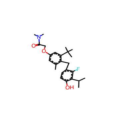 Cc1cc(OCC(=O)N(C)C)cc(C(C)(C)C)c1Cc1ccc(O)c(C(C)C)c1F